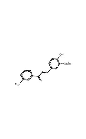 COc1cc(/C=C/C(=O)c2cccc(C)c2)ccc1O